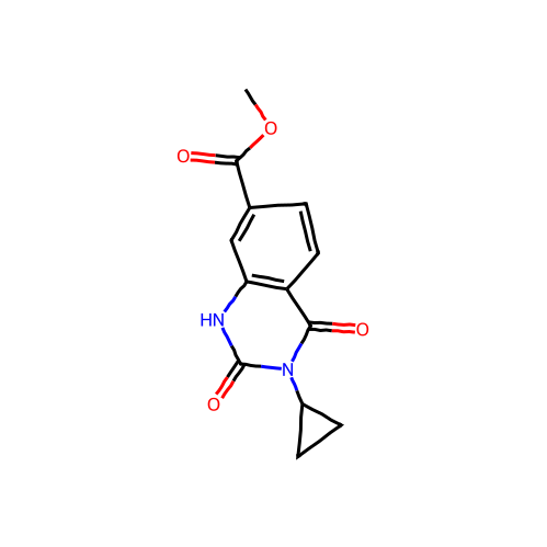 COC(=O)c1ccc2c(=O)n(C3CC3)c(=O)[nH]c2c1